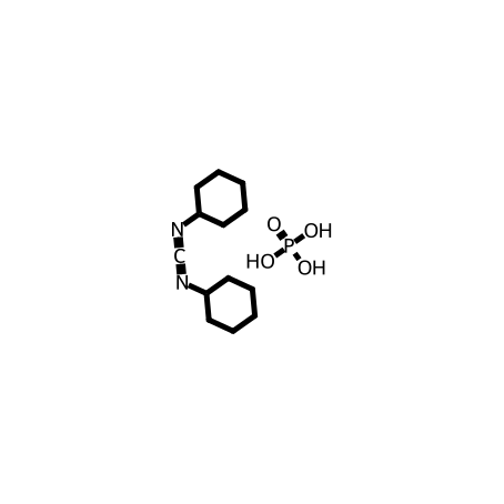 C(=NC1CCCCC1)=NC1CCCCC1.O=P(O)(O)O